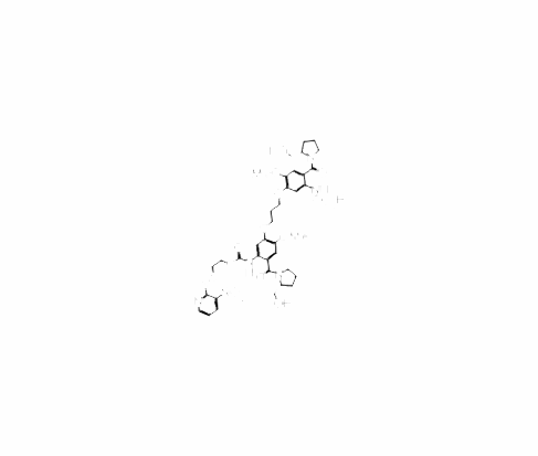 COc1cc(C(=O)N2CCC[C@H]2CO)c(NC(=O)O)cc1OCCCOc1cc(NC(=O)OC[C@@H](C)SSc2ncccc2[N+](=O)[O-])c(C(=O)N2CCC[C@H]2CO)cc1OC